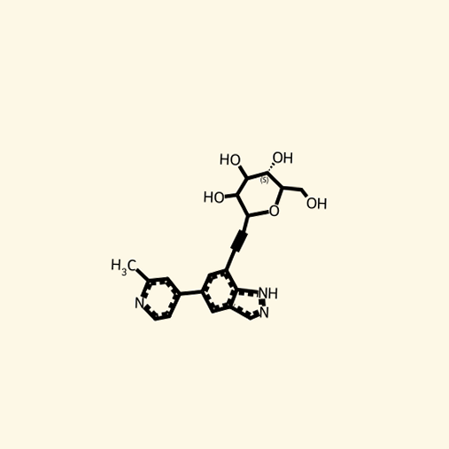 Cc1cc(-c2cc(C#CC3OC(CO)[C@@H](O)C(O)C3O)c3[nH]ncc3c2)ccn1